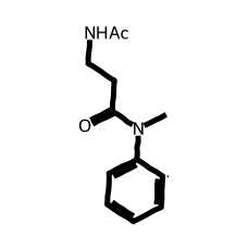 CC(=O)NCCC(=O)N(C)c1[c]cccc1